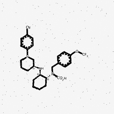 N#Cc1ccc(N2CCC[C@H](N[C@@H]3CCCC[C@H]3N(Cc3ccc(OC(F)(F)F)cc3)C(=O)O)C2)cc1